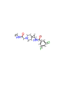 CC(C)NC(=O)CN1CCC2(CC1)C[C@H]2NC(=O)c1cc(F)cc(Cl)c1